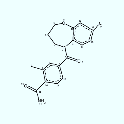 Cc1cc(C(=O)N2CCCOc3cc(Cl)ccc32)ccc1C(N)=O